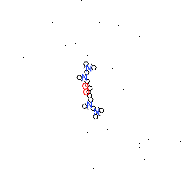 Cc1ccccc1N(c1ccc(N(c2ccccc2C)c2ccccc2C)cc1)c1ccc2cc3c(cc2c1)oc1c3ccc2c3ccc(N(c4ccc(N(c5ccccc5C)c5ccccc5C)cc4)c4ccccc4C)cc3oc21